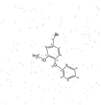 COc1cc(CBr)ccc1Oc1ccccc1